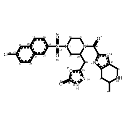 CC1Cc2nc(C(=O)N3CCN(S(=O)(=O)c4ccc5cc(Cl)ccc5c4)CC3Cc3n[nH]c(=O)o3)sc2CN1